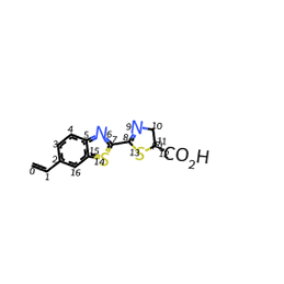 C=Cc1ccc2nc(C3=NC[C@@H](C(=O)O)S3)sc2c1